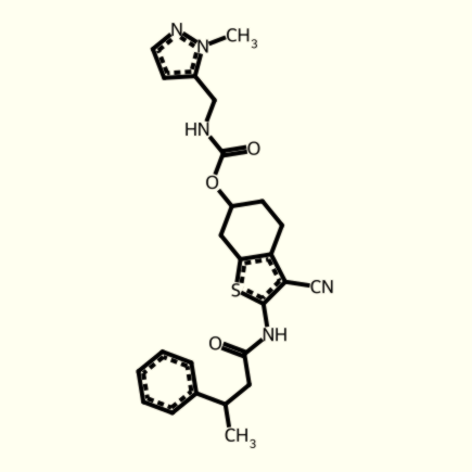 CC(CC(=O)Nc1sc2c(c1C#N)CCC(OC(=O)NCc1ccnn1C)C2)c1ccccc1